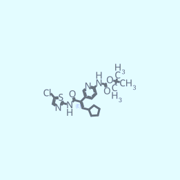 CC(C)(C)OC(=O)Nc1ccc(/C(=C\C2CCCC2)C(=O)Nc2ncc(Cl)s2)cn1